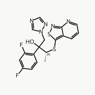 C[C@@H](Sc1snc2ncccc12)C(O)(Cn1cncn1)c1ccc(F)cc1F